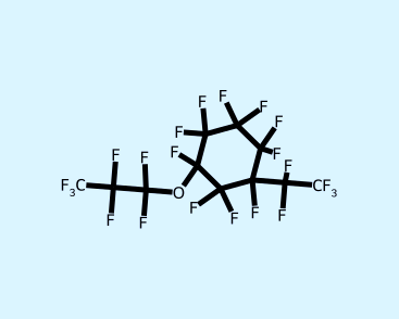 FC(F)(F)C(F)(F)C(F)(F)OC1(F)C(F)(F)C(F)(F)C(F)(F)C(F)(C(F)(F)C(F)(F)F)C1(F)F